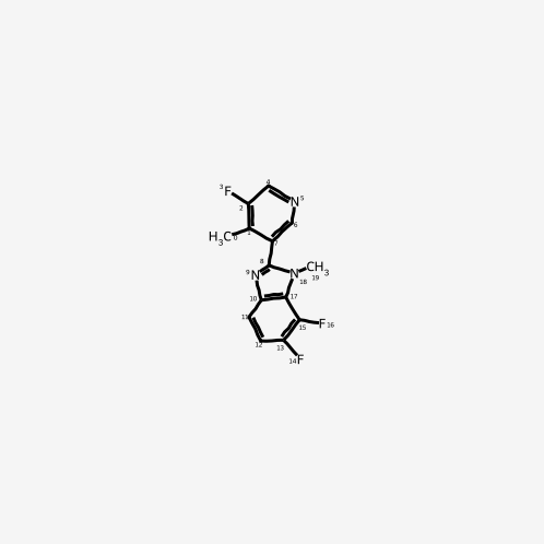 Cc1c(F)cncc1-c1nc2ccc(F)c(F)c2n1C